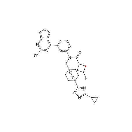 O=C(N(CC12CCC(c3nc(C4CC4)no3)(CC1)CC2)c1cccc(-c2nc(Cl)nn3cccc23)c1)C12CC(F)(C1)C2